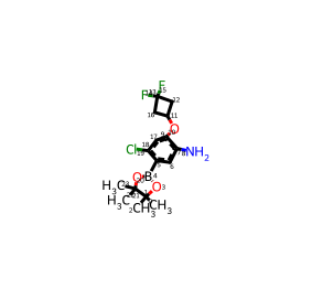 CC1(C)OB(c2cc(N)c(OC3CC(F)(F)C3)cc2Cl)OC1(C)C